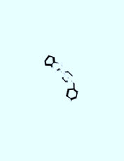 Fc1ccc(CN2CCN(c3nc4c[c]ccc4s3)CC2)cc1